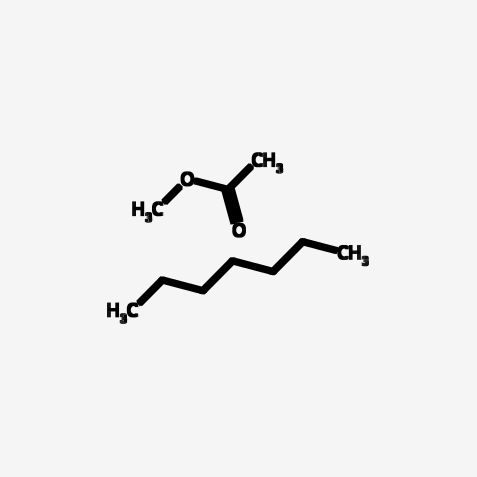 CCCCCCC.COC(C)=O